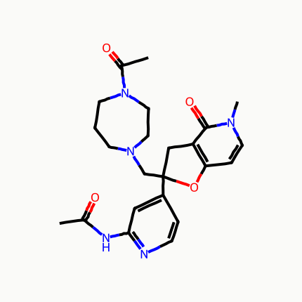 CC(=O)Nc1cc(C2(CN3CCCN(C(C)=O)CC3)Cc3c(ccn(C)c3=O)O2)ccn1